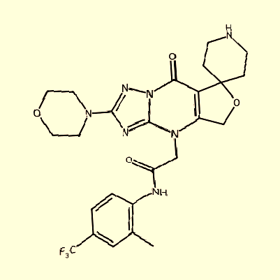 Cc1cc(C(F)(F)F)ccc1NC(=O)Cn1c2c(c(=O)n3nc(N4CCOCC4)nc13)C1(CCNCC1)OC2